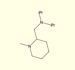 CC(C)N(CC1CCCCN1C)C(C)C